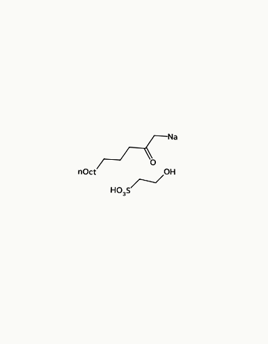 CCCCCCCCCCCC(=O)[CH2][Na].O=S(=O)(O)CCO